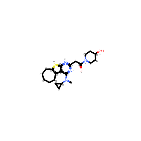 CN(c1nc(CC(=O)N2CCC(O)CC2)nc2sc3c(c12)CCCCC3)C1CC1